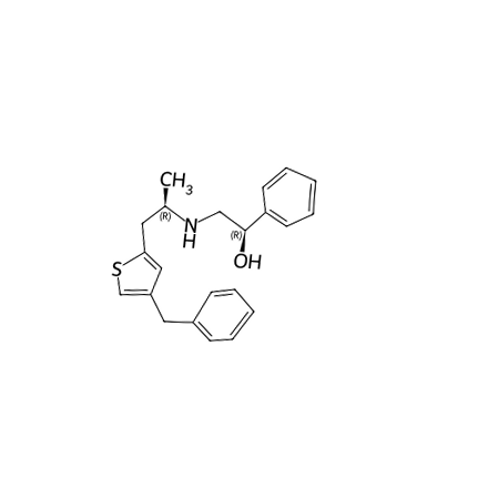 C[C@H](Cc1cc(Cc2ccccc2)cs1)NC[C@H](O)c1ccccc1